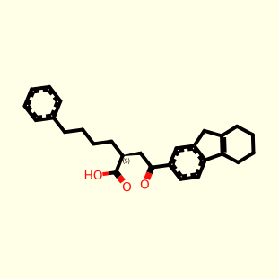 O=C(C[C@H](CCCCc1ccccc1)C(=O)O)c1ccc2c(c1)CC1=C2CCCC1